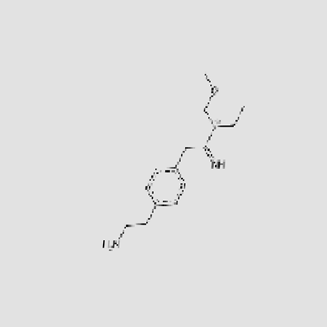 CC[C@H](COC)C(=N)Cc1ccc(CCN)cc1